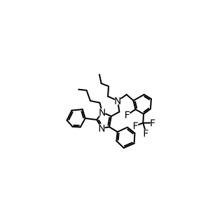 CCCCN(Cc1cccc(C(F)(F)F)c1F)Cc1c(-c2ccccc2)nc(-c2ccccc2)n1CCCC